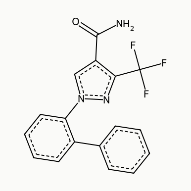 NC(=O)c1cn(-c2ccccc2-c2ccccc2)nc1C(F)(F)F